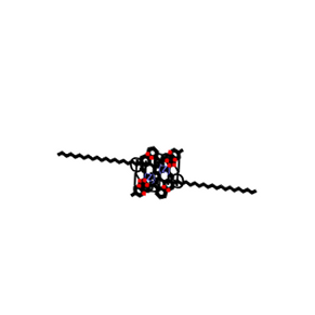 CCCCCCCCCCCCCCCCCCOc1cccc(-c2c3/c(=C(\C#N)c4nc5cc(C)ccc5o4)n(B(c4ccccc4)c4ccccc4)c(-c4cccc(OCCCCCCCCCCCCCCCCCC)c4)c3/c(=C(\C#N)c3nc4cc(C)ccc4o3)n2B(c2ccccc2)c2ccccc2)c1